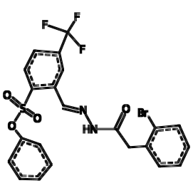 O=C(Cc1ccccc1Br)NN=Cc1cc(C(F)(F)F)ccc1S(=O)(=O)Oc1ccccc1